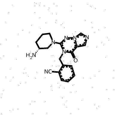 N#Cc1ccccc1Cn1c(N2CCC[C@@H](N)C2)nn2cncc2c1=O